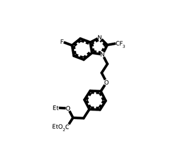 CCOC(=O)C(Cc1ccc(OCCn2c(C(F)(F)F)nc3cc(F)ccc32)cc1)OCC